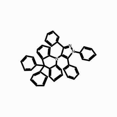 c1ccc(-c2nn(-c3ccccc3)c(-c3ccccc3)c2N2c3ccccc3C(c3ccccc3)(c3ccccc3)c3ccccc32)cc1